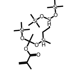 C=C(C)C(=O)OC(C)(O[SiH](C)CC[SiH](O[Si](C)(C)C)O[Si](C)(C)C)O[Si](C)(C)C